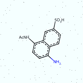 CC(=O)Nc1ccc(N)c2ccc(S(=O)(=O)O)cc12